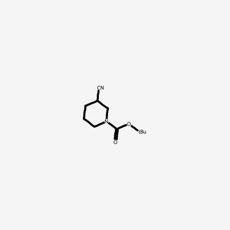 CC(C)(C)OC(=O)N1CCCC(C#N)C1